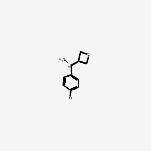 N[C@@H](c1ccc(Cl)cc1)C1COC1